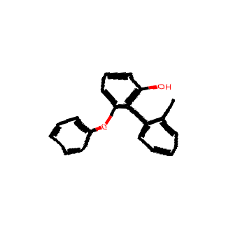 Cc1ccccc1-c1c(O)cccc1Oc1ccccc1